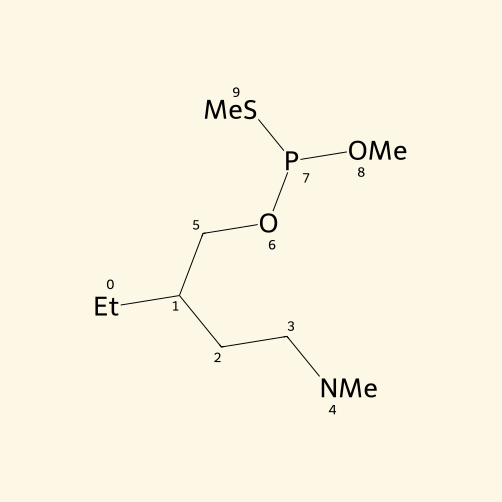 CCC(CCNC)COP(OC)SC